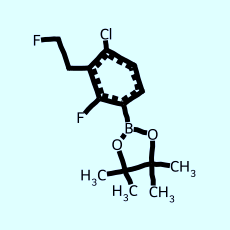 CC1(C)OB(c2ccc(Cl)c(CCF)c2F)OC1(C)C